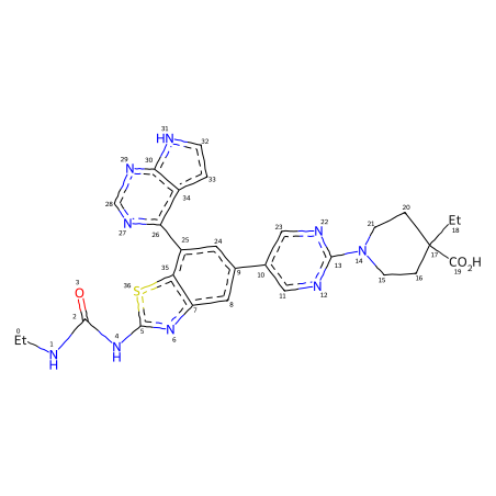 CCNC(=O)Nc1nc2cc(-c3cnc(N4CCC(CC)(C(=O)O)CC4)nc3)cc(-c3ncnc4[nH]ccc34)c2s1